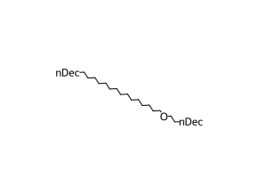 CCCCCCCCCCCCCCCCCCCCCCCCCOCCCCCCCCCCCC